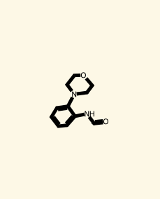 O=[C]Nc1ccccc1N1CCOCC1